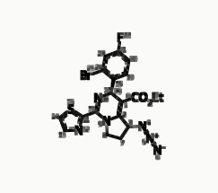 CCOC(=O)C1=C2C(N=[N+]=[N-])CCN2C(c2nccs2)=N[C@H]1c1ccc(F)cc1Br